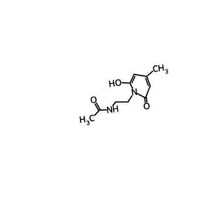 CC(=O)NCCn1c(O)cc(C)cc1=O